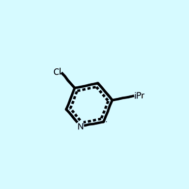 CC(C)c1[c]ncc(Cl)c1